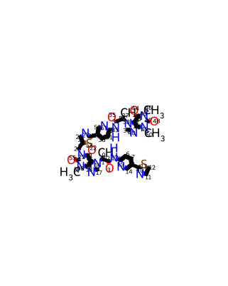 C[C@H](C(=O)Nc1ccc(-c2nccs2)cn1)n1cnc2c1c(=O)n(Cc1cnc(-c3ccc(NC(=O)[C@H](C)n4cnc5c4c(=O)n(C)c(=O)n5C)nc3)s1)c(=O)n2C